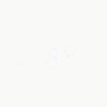 CCSc1cc(C2CC2)cnc1-c1ncc2c(OCC(F)(F)C(F)(F)F)cccn12